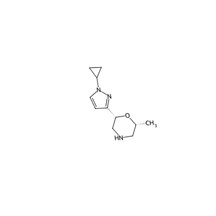 C[C@@H]1CNC[C@H](c2ccn(C3CC3)n2)O1